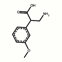 COc1cccc(C(CN)C(=O)O)c1